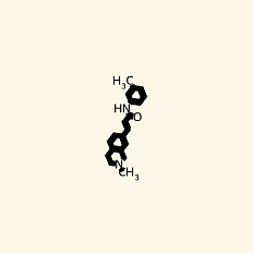 Cc1cccc(NC(=O)/C=C/c2ccc3c(c2)CN(C)CC3)c1